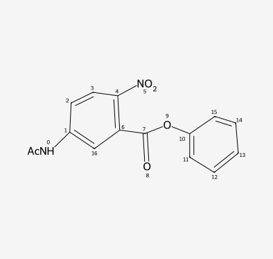 CC(=O)Nc1ccc([N+](=O)[O-])c(C(=O)Oc2ccccc2)c1